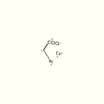 CC(=O)CC(=O)[O-].[Cs+]